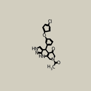 CC(=O)N1CC(=O)C2=C(C1)Nc1n[nH]cc1C2c1cccc(Oc2ccc(Cl)cc2)c1